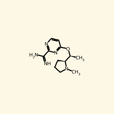 C[C@H](Oc1ccnc(C(=N)N)n1)[C@@H]1CCCN1C